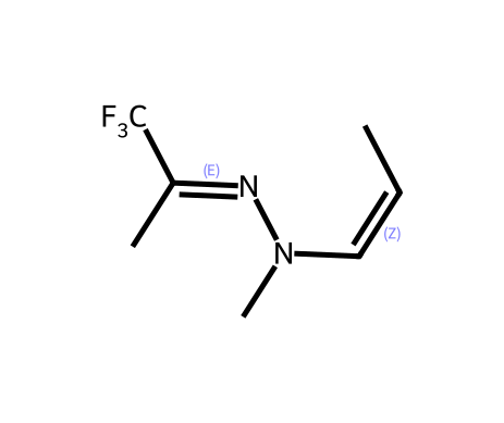 C/C=C\N(C)/N=C(\C)C(F)(F)F